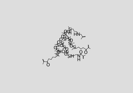 C=C(C)CNCCC[SiH](C)OO[Si](C)(C)O[Si](C)(O[Si](C)(C)O[Si](C)(C)O[Si](C)(C)CCCCC(=O)C(=C)C)O[Si](C)(O[Si](C)(C)O[Si](C)(C)O[Si](C)(C)CCCCC(=O)C(=C)C)O[Si](C)(C)O[Si](C)(O)O[SiH](C)CCCNC(=O)C(=C)C